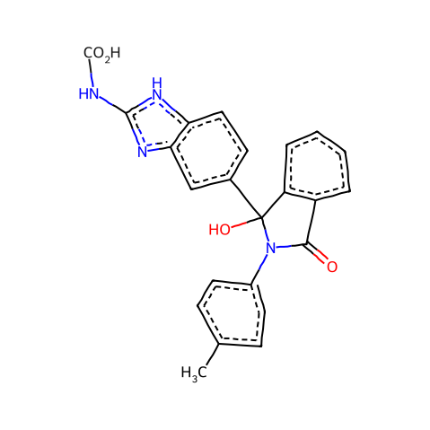 Cc1ccc(N2C(=O)c3ccccc3C2(O)c2ccc3[nH]c(NC(=O)O)nc3c2)cc1